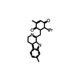 CC1=CC(=O)C(C(C)C)C(CC2=NCCC3=c4ccc(C)cc4=NC23)C1=O